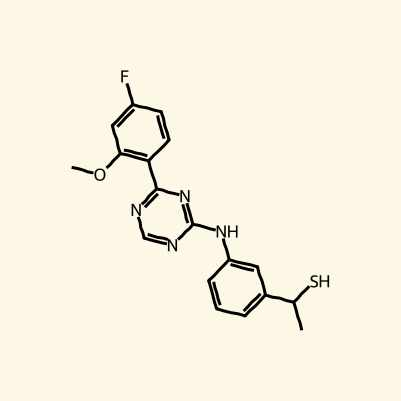 COc1cc(F)ccc1-c1ncnc(Nc2cccc(C(C)S)c2)n1